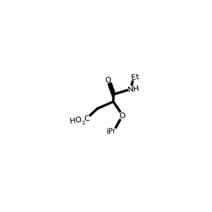 CCNC(=O)C(CC(=O)O)OC(C)C